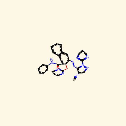 [C-]#[N+]c1cnn(-c2ncccn2)c1/N=N/c1cc2ccccc2c(C(=O)Nc2ccccc2)c1Oc1ncccn1